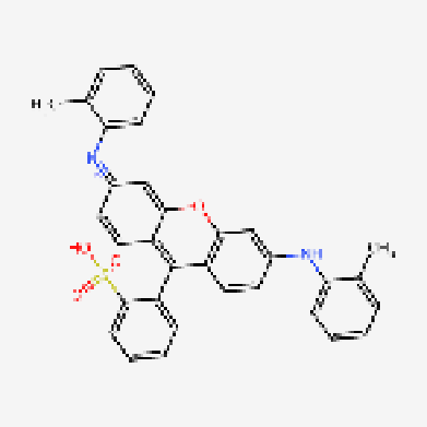 Cc1ccccc1/N=c1/ccc2c(-c3ccccc3S(=O)(=O)O)c3ccc(Nc4ccccc4C)cc3oc-2c1